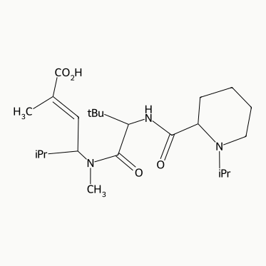 C/C(=C\C(C(C)C)N(C)C(=O)C(NC(=O)C1CCCCN1C(C)C)C(C)(C)C)C(=O)O